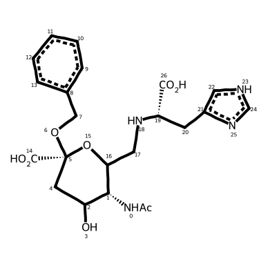 CC(=O)N[C@@H]1C(O)C[C@](OCc2ccccc2)(C(=O)O)OC1CN[C@@H](Cc1c[nH]cn1)C(=O)O